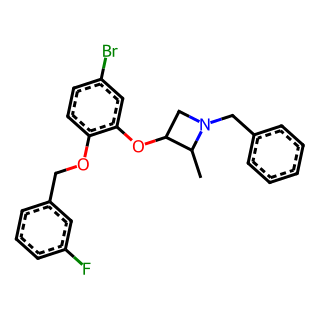 CC1C(Oc2cc(Br)ccc2OCc2cccc(F)c2)CN1Cc1ccccc1